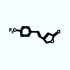 O=C1C=C(C=Cc2ccc(C(F)(F)F)cc2)CO1